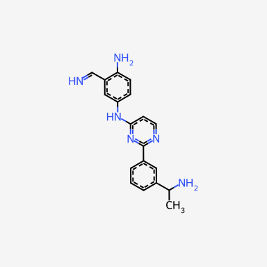 CC(N)c1cccc(-c2nccc(Nc3ccc(N)c(C=N)c3)n2)c1